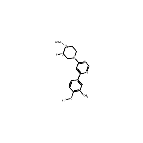 CC(=O)N[C@@H]1CCN(c2cc(-c3ccc(OC(F)(F)F)c(C)c3)ncn2)C[C@H]1F